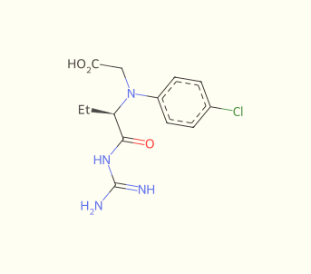 CC[C@H](C(=O)NC(=N)N)N(CC(=O)O)c1ccc(Cl)cc1